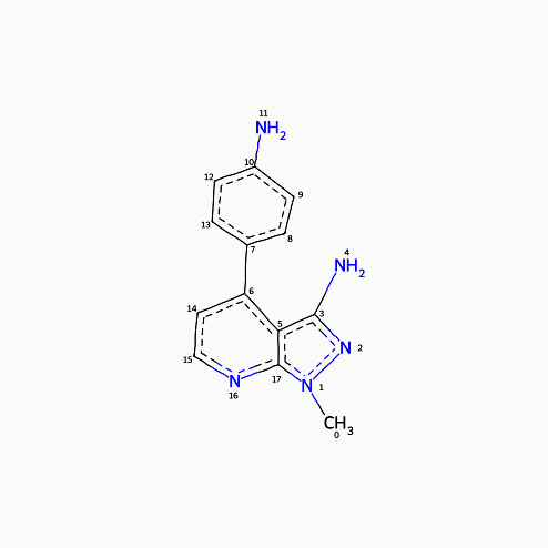 Cn1nc(N)c2c(-c3ccc(N)cc3)ccnc21